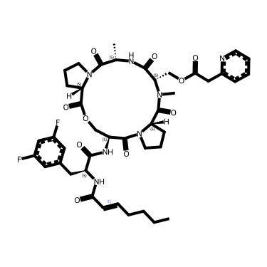 CCCC/C=C/C(=O)N[C@@H](Cc1cc(F)cc(F)c1)C(=O)N[C@H]1COC(=O)[C@@H]2CCCN2C(=O)[C@H](C)NC(=O)[C@H](COC(=O)Cc2ccccn2)N(C)C(=O)[C@@H]2CCCN2C1=O